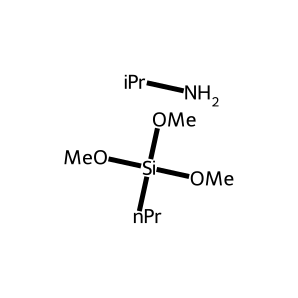 CC(C)N.CCC[Si](OC)(OC)OC